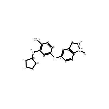 [C-]#[N+]c1ccc(Oc2ccc3c(c2)COB3C)cc1OC1CCCC1